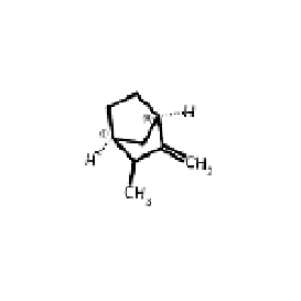 C=C1[C](C)[C@H]2CC[C@@H]1C2